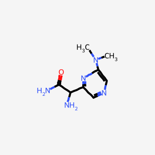 CN(C)c1cncc(C(N)C(N)=O)n1